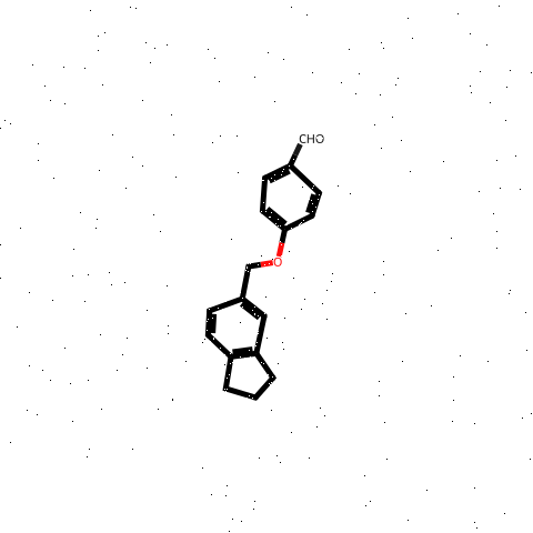 O=Cc1ccc(OCc2ccc3c(c2)CCC3)cc1